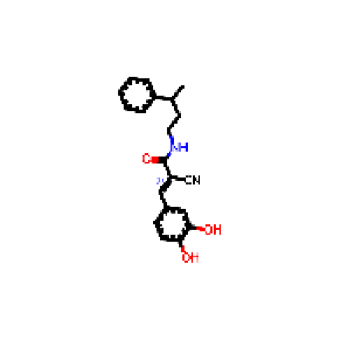 CC(CCNC(=O)/C(C#N)=C/c1ccc(O)c(O)c1)c1ccccc1